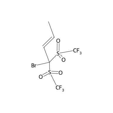 CC=CC(Br)(S(=O)(=O)C(F)(F)F)S(=O)(=O)C(F)(F)F